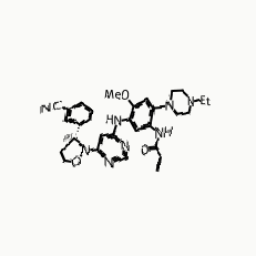 C=CC(=O)Nc1cc(Nc2cc(N3OCC[C@@H]3c3cccc(C#N)c3)ncn2)c(OC)cc1N1CCN(CC)CC1